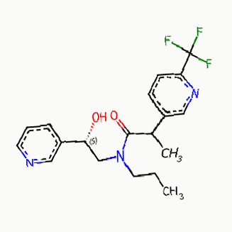 CCCN(C[C@@H](O)c1cccnc1)C(=O)C(C)c1ccc(C(F)(F)F)nc1